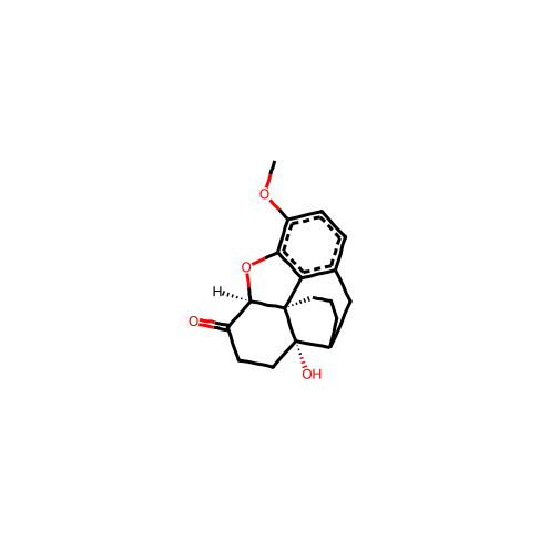 COc1ccc2c3c1O[C@@H]1C(=O)CC[C@]4(O)C(CCC[C@@]314)C2